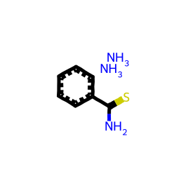 N.N.NC(=S)c1ccccc1